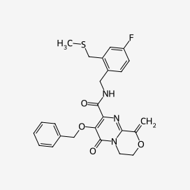 C=C1OCCn2c1nc(C(=O)NCc1ccc(F)cc1CSC)c(OCc1ccccc1)c2=O